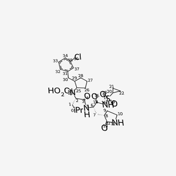 CC(C)C[C@@H](C(=O)N[C@@H](C[C@@H]1CCNC1=O)C(=O)NS(=O)(=O)C1CC1)N(C(=O)O)C1CCCC1Cc1cccc(Cl)c1